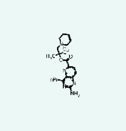 CCCc1nc(N)nc2ccc(C(=O)OC(C)(C)CN3CC=CCC3)nc12